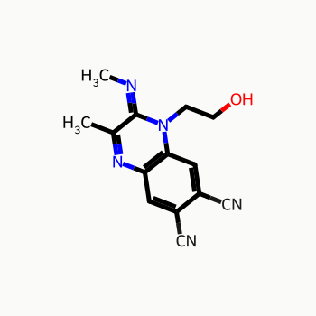 C/N=c1\c(C)nc2cc(C#N)c(C#N)cc2n1CCO